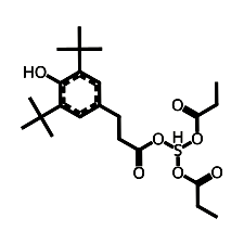 CCC(=O)O[SH](OC(=O)CC)OC(=O)CCc1cc(C(C)(C)C)c(O)c(C(C)(C)C)c1